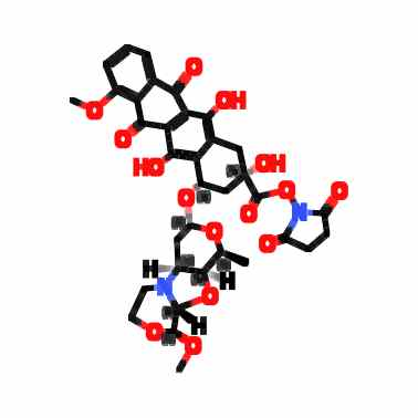 COc1cccc2c1C(=O)c1c(O)c3c(c(O)c1C2=O)C[C@@](O)(C(=O)ON1C(=O)CCC1=O)C[C@@H]3O[C@H]1C[C@H]2[C@H](O[C@@H]3[C@@H](OC)OCCN32)[C@H](C)O1